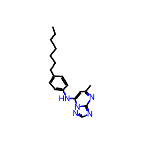 CCCCCCCc1ccc(Nc2cc(C)nc3ncnn23)cc1